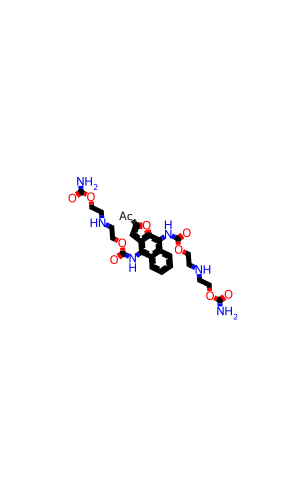 CC(=O)c1cc2c(NC(=O)OCCNCCOC(N)=O)c3ccccc3c(NC(=O)OCCNCCOC(N)=O)c2o1